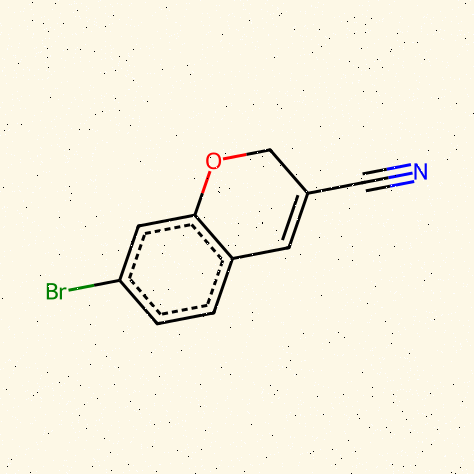 N#CC1=Cc2ccc(Br)cc2OC1